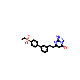 CCS(=O)(=O)c1ccc(-c2cccc(CCc3cc(=O)n(C)c(N)n3)c2)cc1